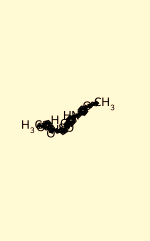 CCCCOc1ccc(CNC2CCN(S(=O)(=O)c3ccc(CNC(=O)c4cccc(OC)c4)s3)CC2)cc1